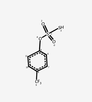 O=S(=O)(S)Oc1ccc(C(F)(F)F)cc1